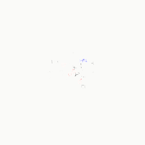 COc1ccc2c3c1O[C@H]1[C@@]4(OC)CC[C@@]5(C[C@@H]4COCc4ccccc4)[C@@H](C2)NCC[C@]315